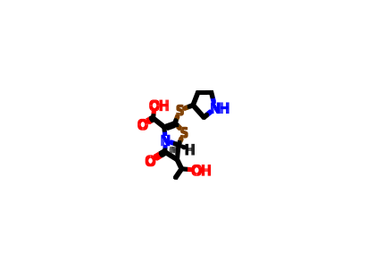 CC(O)C1C(=O)N2C(C(=O)O)=C(SC3CCNC3)S[C@H]12